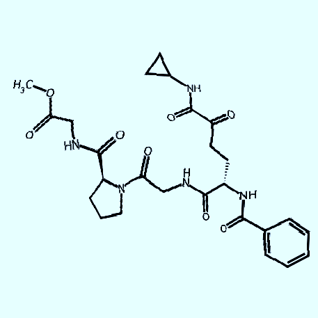 COC(=O)CNC(=O)[C@@H]1CCCN1C(=O)CNC(=O)[C@H](CCC(=O)C(=O)NC1CC1)NC(=O)c1ccccc1